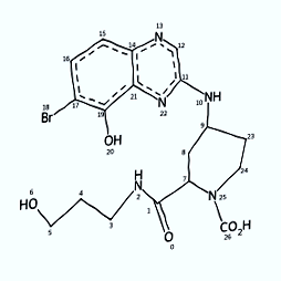 O=C(NCCCO)C1CC(Nc2cnc3ccc(Br)c(O)c3n2)CCN1C(=O)O